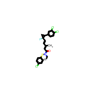 CC(/C=C/[C@]1(F)CC1c1ccc(Cl)c(Cl)c1)=C\C(=O)N(CC(C)C)Sc1ccc(Cl)cc1